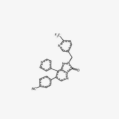 N#Cc1ccc(-c2cnn3c(=O)n(Cc4ccc(C(F)(F)F)nc4)nc3c2-c2ccncc2)cc1